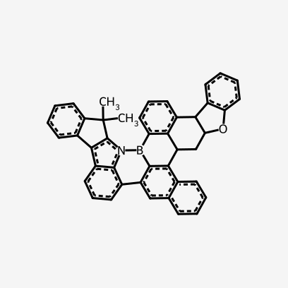 CC1(C)c2ccccc2-c2c1n1c3c(cccc23)-c2cc3ccccc3c3c2B1c1cccc2c1C3CC1Oc3ccccc3C21